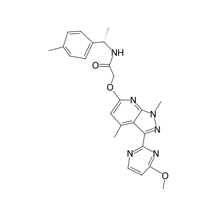 COc1ccnc(-c2nn(C)c3nc(OCC(=O)N[C@@H](C)c4ccc(C)cc4)cc(C)c23)n1